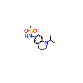 CC(C)N1CCCc2cc(NS(C)(=O)=O)ccc21